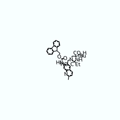 CCC1(C(=O)O)NC(C(=O)O)(C(C)(C)C)CN1Cc1cc2ccc(C)nc2cc1NC(=O)OCC1c2ccccc2-c2ccccc21